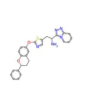 NC(Cc1cnc(Oc2ccc3c(c2)CCC(c2ccccc2)O3)s1)c1nnc2ccccn12